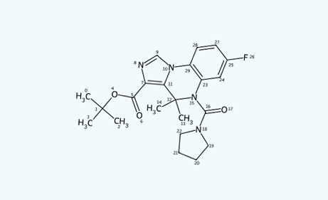 CC(C)(C)OC(=O)c1ncn2c1C(C)(C)N(C(=O)N1CCCC1)c1cc(F)ccc1-2